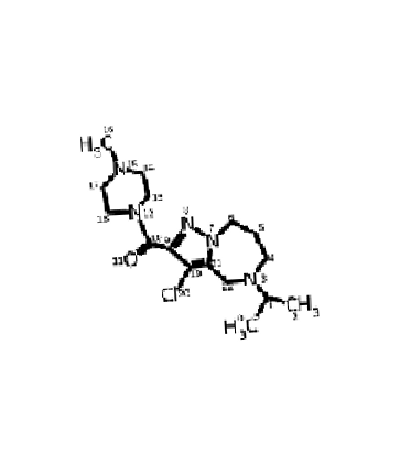 CC(C)N1CCCn2nc(C(=O)N3CCN(C)CC3)c(Cl)c2C1